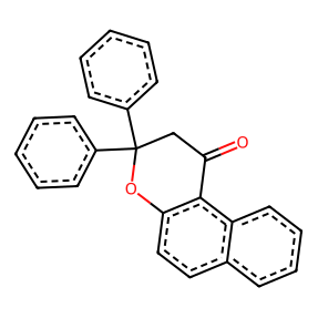 O=C1CC(c2ccccc2)(c2ccccc2)Oc2ccc3ccccc3c21